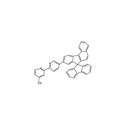 N#Cc1ccnc(-c2ccc(-c3ccc4c(c3)C3(c5ccccc5-c5ccccc53)c3ccc5ccccc5c3-4)cn2)c1